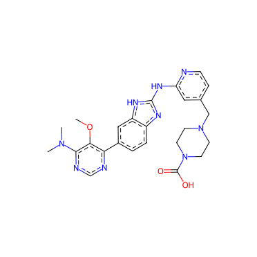 COc1c(-c2ccc3nc(Nc4cc(CN5CCN(C(=O)O)CC5)ccn4)[nH]c3c2)ncnc1N(C)C